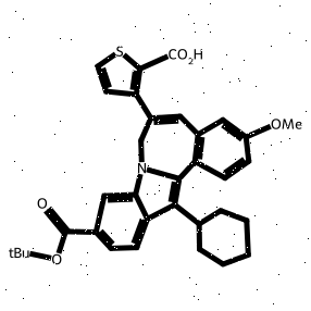 COc1ccc2c(c1)C=C(c1ccsc1C(=O)O)Cn1c-2c(C2CCCCC2)c2ccc(C(=O)OC(C)(C)C)cc21